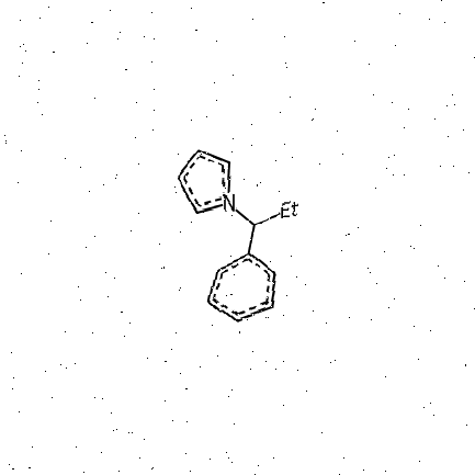 CCC(c1ccccc1)n1cccc1